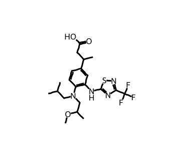 COC(C)CN(CC(C)C)c1ccc(C(C)CC(=O)O)cc1Nc1nc(C(F)(F)F)ns1